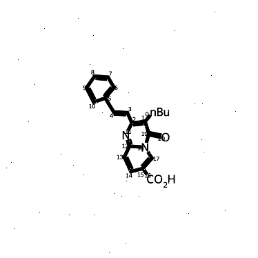 CCCCc1c(/C=C/c2ccccc2)nc2ccc(C(=O)O)cn2c1=O